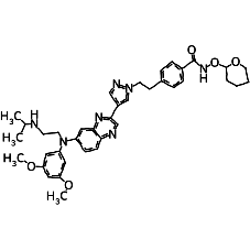 COc1cc(OC)cc(N(CCNC(C)C)c2ccc3ncc(-c4cnn(CCc5ccc(C(=O)NOC6CCCCO6)cc5)c4)nc3c2)c1